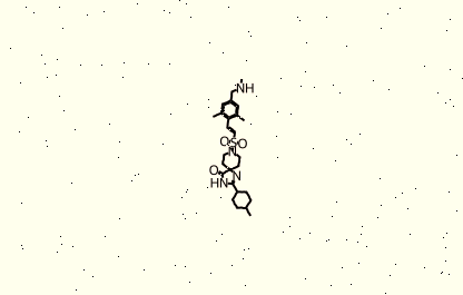 CNCc1cc(C)c(/C=C/S(=O)(=O)N2CCC3(CC2)N=C(C2CCC(C)CC2)NC3=O)c(C)c1